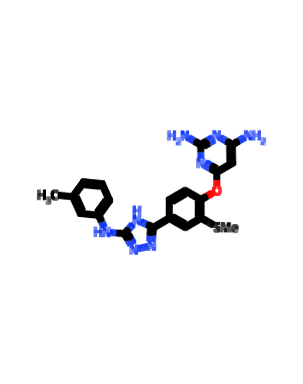 CSc1cc(-c2nnc(Nc3cccc(C)c3)[nH]2)ccc1Oc1cc(N)nc(N)n1